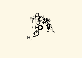 CN1CCN(c2cccc(Oc3nc(NS(=O)(=O)c4cnn(C)c4)nc(Cl)c3C(F)(F)C(F)(F)F)c2Cl)CC1